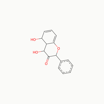 O=C1C(c2ccccc2)OC2=CC=CC(O)C2C1O